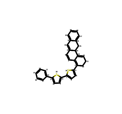 C1=CC2=C(c3ccc(-c4ccc(-c5ccccc5)s4)s3)CCC=C2C2Cc3ccccc3C=C12